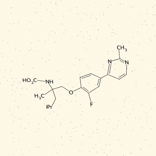 Cc1nccc(-c2ccc(OCC(C)(CC(C)C)NC(=O)O)c(F)c2)n1